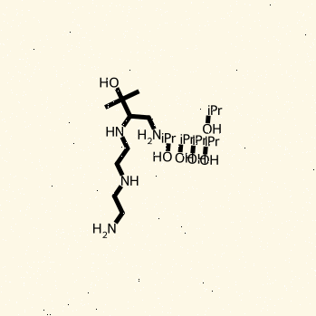 CC(C)(O)C(CN)NCCNCCN.CC(C)O.CC(C)O.CC(C)O.CC(C)O.CC(C)O